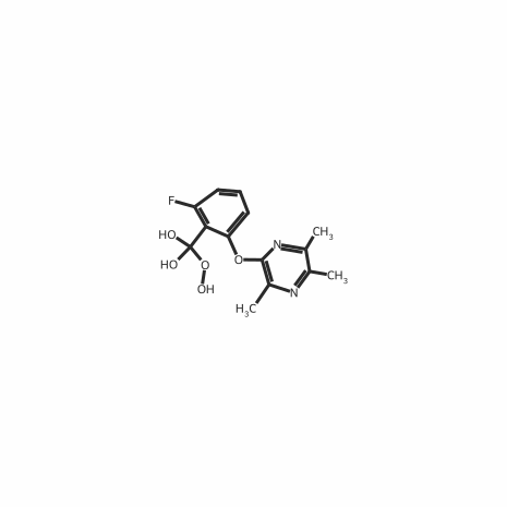 Cc1nc(C)c(Oc2cccc(F)c2C(O)(O)OO)nc1C